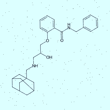 O=C(NCc1ccccc1)c1ccccc1OCC(O)CNCC12CC3CC(CC(C3)C1)C2